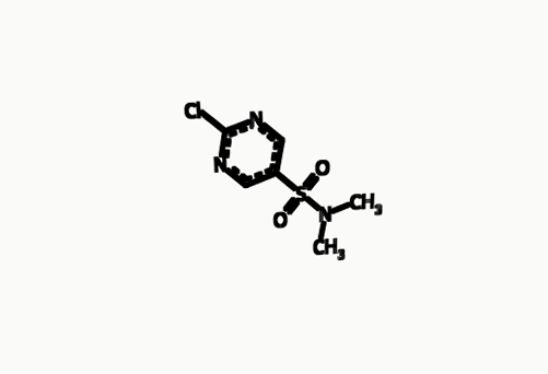 CN(C)S(=O)(=O)c1cnc(Cl)nc1